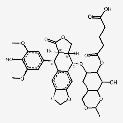 COc1cc([C@@H]2c3cc4c(cc3[C@@H](OC3CC5COC(C)OC5C(O)C3OC(=O)CCCC(=O)O)[C@H]3COC(=O)[C@H]23)OCO4)cc(OC)c1O